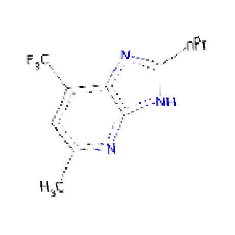 CCCc1nc2c(C(F)(F)F)cc(C)nc2[nH]1